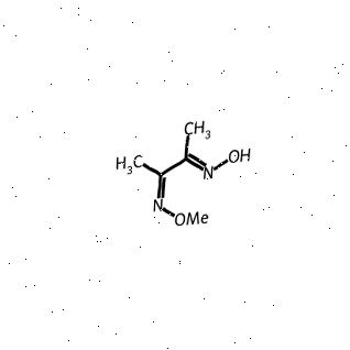 CON=C(C)C(C)=NO